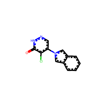 O=c1[nH]ncc(-n2cc3ccccc3c2)c1Cl